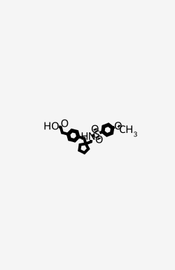 COc1ccc(S(=O)(=O)NCC2(Cc3ccc(CC(=O)O)cc3)CCCC2)cc1